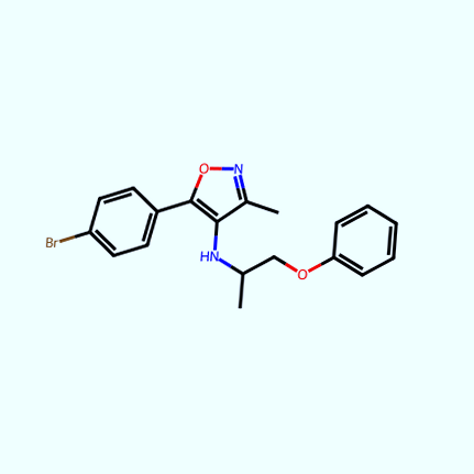 Cc1noc(-c2ccc(Br)cc2)c1NC(C)COc1ccccc1